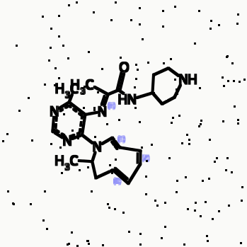 C/C(=N\c1c(C)ncnc1N1/C=C/C=C\C=C\CC1C)C(=O)NC1CCNCC1